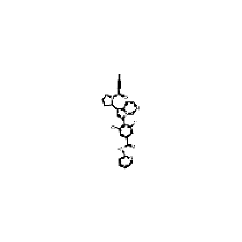 CC#CC(=O)N1CCCC1c1cc(-c2c(Cl)cc(C(=O)Nc3ccccn3)cc2Cl)n2cnccc12